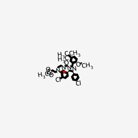 CCOc1ccc(C(C)(C)C)cc1C1=N[C@@H](c2ccc(Cl)cc2)[C@@H](c2ccc(Cl)cc2)N1C(=O)N1CCN(CCS(C)(=O)=O)CC1